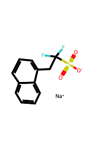 O=S(=O)([O-])C(F)(F)Cc1cccc2ccccc12.[Na+]